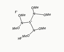 CON(OC)[S+](N(OC)OC)N(OC)OC.F.[F-]